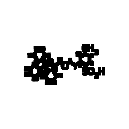 Cc1ccc(S(=O)(=O)O)c(CCOCCOC(c2ccccc2)(c2ccccc2)c2ccccc2)c1